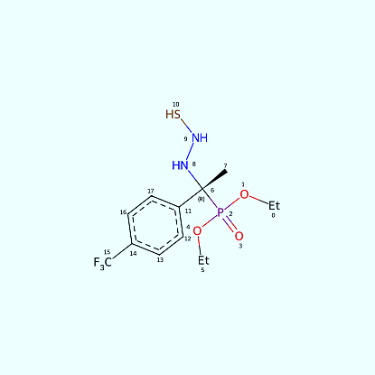 CCOP(=O)(OCC)[C@@](C)(NNS)c1ccc(C(F)(F)F)cc1